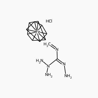 C=NC(=NN)N(N)N.Cl.[CH]12[CH]3[CH]4[CH]5[CH]1[Fe]23451678[CH]2[CH]1[CH]6[CH]7[CH]28